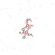 COCOc1cc(O)c(C(=O)C=Cc2cc(OC)c(OCc3ccccc3)c(OC)c2)c(OCc2ccccc2)c1